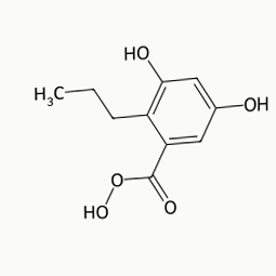 CCCc1c(O)cc(O)cc1C(=O)OO